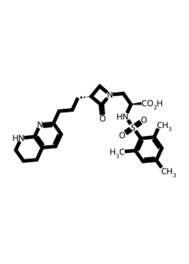 Cc1cc(C)c(S(=O)(=O)N[C@@H](CN2C[C@@H](CCCc3ccc4c(n3)NCCC4)C2=O)C(=O)O)c(C)c1